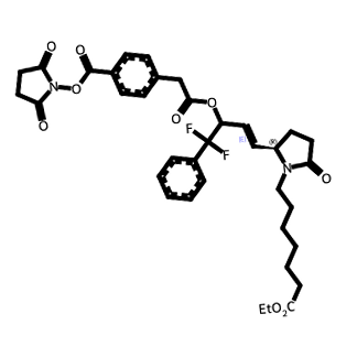 CCOC(=O)CCCCCCN1C(=O)CC[C@@H]1/C=C/C(OC(=O)Cc1ccc(C(=O)ON2C(=O)CCC2=O)cc1)C(F)(F)c1ccccc1